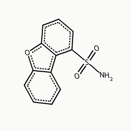 NS(=O)(=O)c1cccc2oc3ccccc3c12